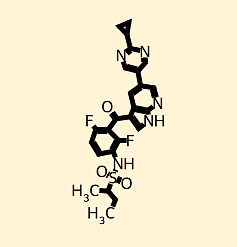 CCC(C)S(=O)(=O)Nc1ccc(F)c(C(=O)c2c[nH]c3ncc(-c4cnc(C5CC5)nc4)cc23)c1F